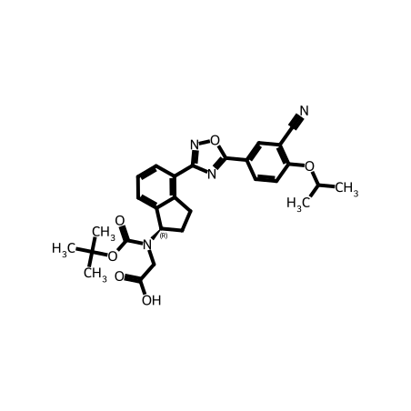 CC(C)Oc1ccc(-c2nc(-c3cccc4c3CC[C@H]4N(CC(=O)O)C(=O)OC(C)(C)C)no2)cc1C#N